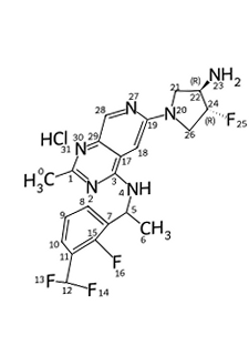 Cc1nc(NC(C)c2cccc(C(F)F)c2F)c2cc(N3C[C@@H](N)[C@H](F)C3)ncc2n1.Cl